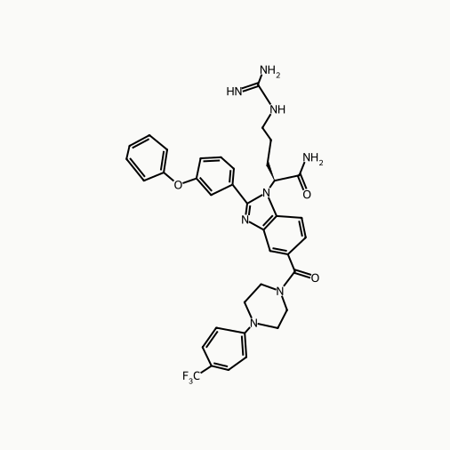 N=C(N)NCCC[C@@H](C(N)=O)n1c(-c2cccc(Oc3ccccc3)c2)nc2cc(C(=O)N3CCN(c4ccc(C(F)(F)F)cc4)CC3)ccc21